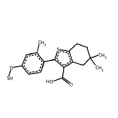 Cc1cc(OS)ccc1-c1sc2c(c1C(=O)O)CC(C)(C)CC2